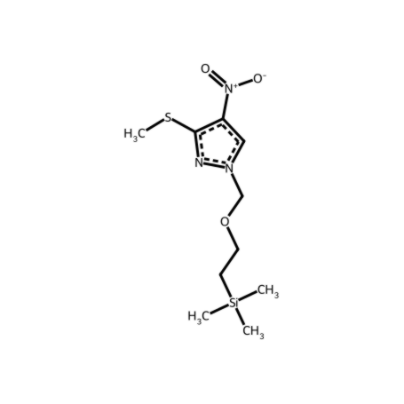 CSc1nn(COCC[Si](C)(C)C)cc1[N+](=O)[O-]